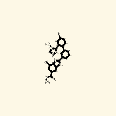 COC(=O)c1cc(Cl)c2oc(-c3cccc(-c4ccc(F)cc4-c4nncn4C)c3)nc2c1